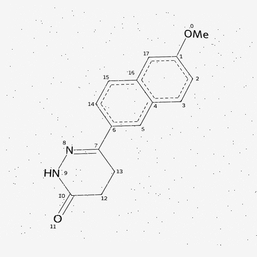 COc1ccc2cc(C3=NNC(=O)CC3)ccc2c1